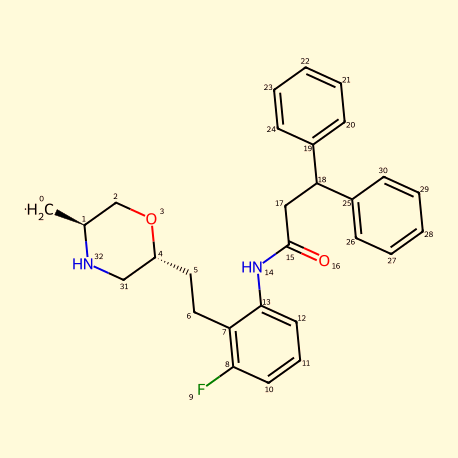 [CH2][C@H]1CO[C@H](CCc2c(F)cccc2NC(=O)CC(c2ccccc2)c2ccccc2)CN1